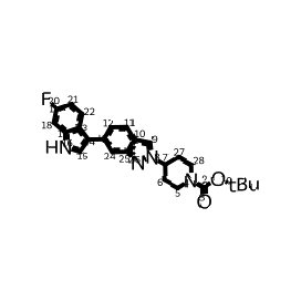 CC(C)(C)OC(=O)N1CCC(n2cc3ccc(-c4c[nH]c5cc(F)ccc45)cc3n2)CC1